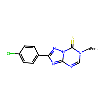 CCCCCn1cnc2nc(-c3ccc(Cl)cc3)nn2c1=S